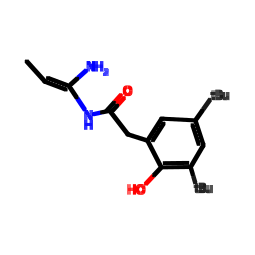 CC=C(N)NC(=O)Cc1cc(C(C)(C)C)cc(C(C)(C)C)c1O